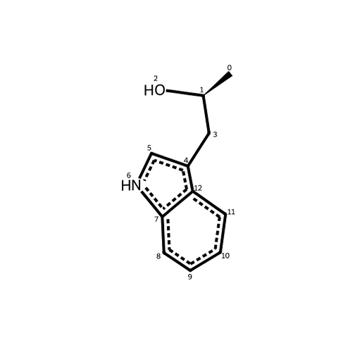 C[C@H](O)Cc1c[nH]c2ccccc12